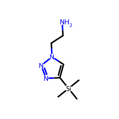 C[Si](C)(C)c1cn(CCN)nn1